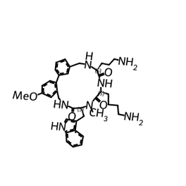 COc1ccc2c(c1)CNC(=O)[C@H](Cc1c[nH]c3ccccc13)N(C)C(=O)[C@H](CCCCN)NC(=O)[C@H](CCCN)NCc1cccc-2c1